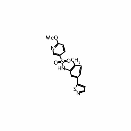 COc1ccc(S(=O)(=O)Nc2cc(-c3ccns3)ccc2C)cn1